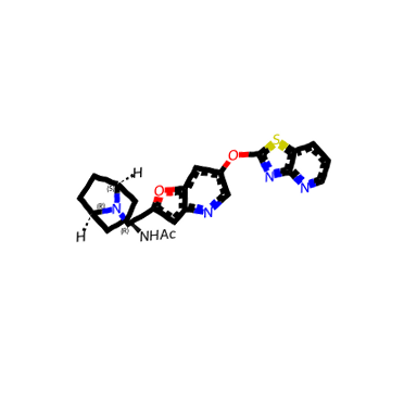 CC(=O)N[C@H]1C[C@H]2CC[C@@H](C1)N2Cc1cc2ncc(Oc3nc4ncccc4s3)cc2o1